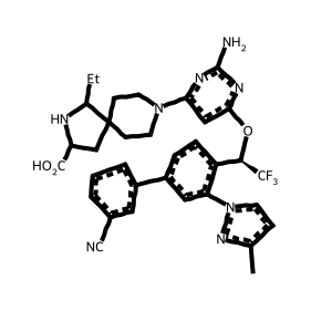 CCC1NC(C(=O)O)CC12CCN(c1cc(O[C@H](c3ccc(-c4cccc(C#N)c4)cc3-n3ccc(C)n3)C(F)(F)F)nc(N)n1)CC2